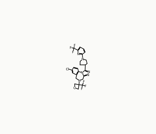 FC(F)(F)c1cccc(N2CCC(c3nnc4n3-c3ccc(Cl)cc3CN(C3(C(F)(F)F)COC3)C4)CC2)n1